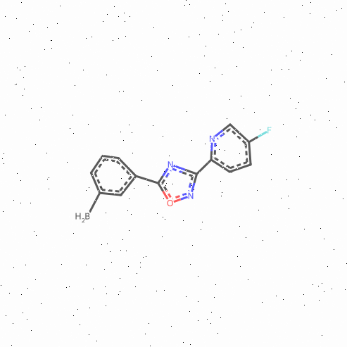 Bc1cccc(-c2nc(-c3ccc(F)cn3)no2)c1